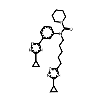 O=C(N1CCCCC1)N(CCCCCc1nc(C2CC2)no1)c1cccc(-c2nc(C3CC3)no2)c1